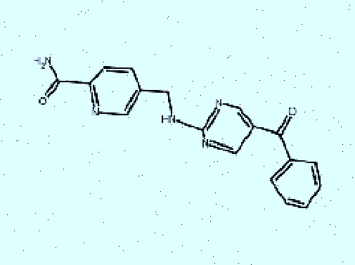 NC(=O)c1ccc(CNc2ncc(C(=O)c3ccccc3)cn2)cn1